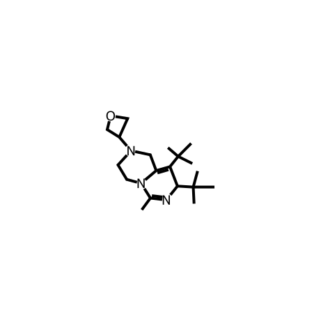 CC1=NC(C(C)(C)C)C(C(C)(C)C)=C2CN(C3COC3)CCN12